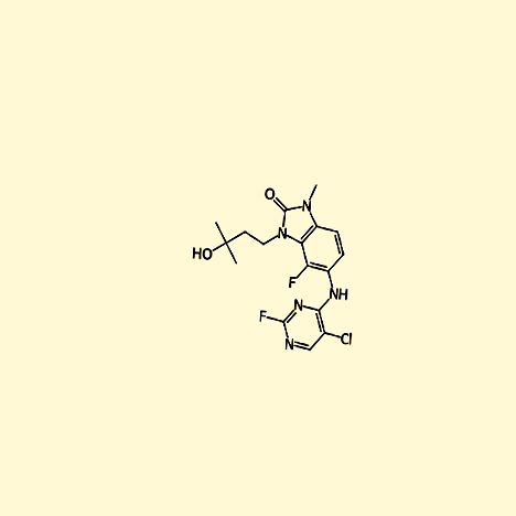 Cn1c(=O)n(CCC(C)(C)O)c2c(F)c(Nc3nc(F)ncc3Cl)ccc21